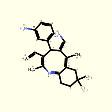 C=C/C1=C(C)/N=C2/CCC(C)(C)C/C2=C(C)/C(=C/N)C1c1cccc(N)c1